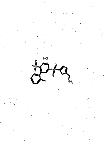 Cc1ccccc1-c1cc(S(=O)(=O)c2ccc(CN)s2)ccc1S(C)(=O)=O.Cl